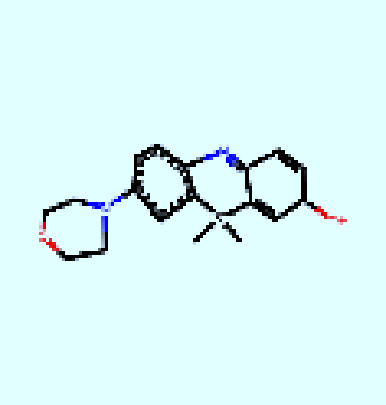 C[Si]1(C)C2=CC(O)C=CC2=Nc2ccc(N3CCOCC3)cc21